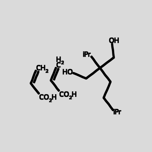 C=CC(=O)O.C=CC(=O)O.CC(C)CCC(CO)(CO)C(C)C